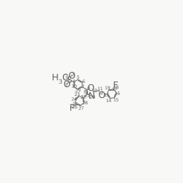 CS(=O)(=O)c1ccc(-c2oc(COc3cccc(F)c3)nc2-c2ccc(F)cc2)cc1